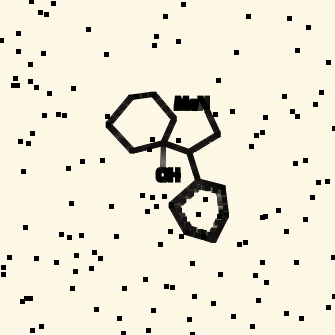 CNCC(c1ccccc1)C1(O)CCCCC1